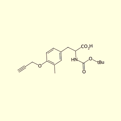 C#CCOc1ccc(CC(NC(=O)OC(C)(C)C)C(=O)O)cc1C